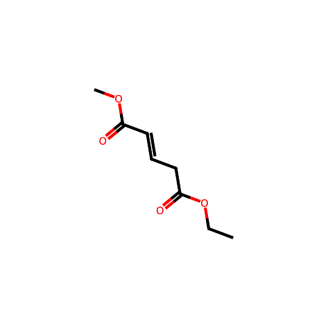 CCOC(=O)CC=CC(=O)OC